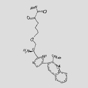 CNC(=O)C(=O)CCCOC[C@H](N)c1ncc(-c2cc3ccccc3nc2OC)[nH]1